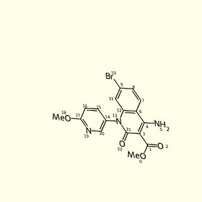 COC(=O)c1c(N)c2ccc(Br)cc2n(-c2ccc(OC)nc2)c1=O